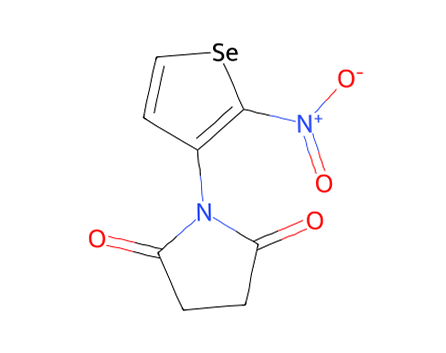 O=C1CCC(=O)N1c1cc[se]c1[N+](=O)[O-]